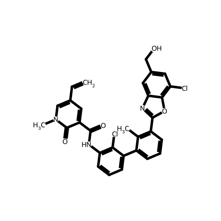 C=Cc1cc(C(=O)Nc2cccc(-c3cccc(-c4nc5cc(CO)cc(Cl)c5o4)c3C)c2Cl)c(=O)n(C)c1